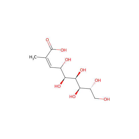 CC(=CC(O)[C@H](O)[C@@H](O)[C@H](O)[C@H](O)CO)C(=O)O